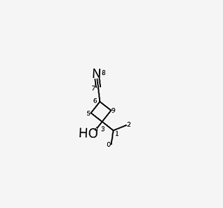 CC(C)C1(O)CC(C#N)C1